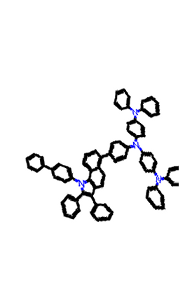 c1ccc(-c2ccc(-n3c(-c4ccccc4)c(-c4ccccc4)c4ccc5c(-c6ccc(N(c7ccc(N(c8ccccc8)c8ccccc8)cc7)c7ccc(N(c8ccccc8)c8ccccc8)cc7)cc6)cccc5c43)cc2)cc1